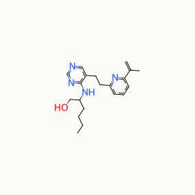 C=C(C)c1cccc(CCc2cncnc2NC(CO)CCCC)n1